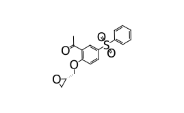 CC(=O)c1cc(S(=O)(=O)c2ccccc2)ccc1OC[C@@H]1CO1